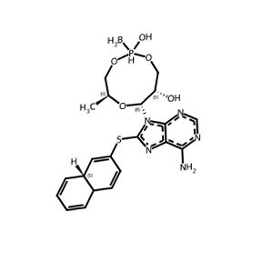 B[PH]1(O)OC[C@H](C)O[C@@H](n2c(SC3=C[C@H]4C=CC=CC4C=C3)nc3c(N)ncnc32)[C@@H](O)CO1